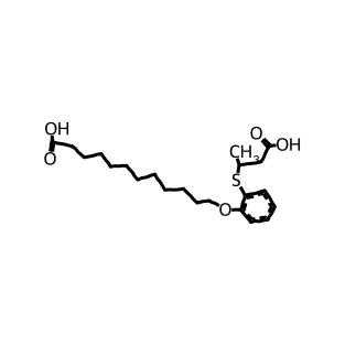 CC(CC(=O)O)Sc1ccccc1OCCCCCCCCCCCC(=O)O